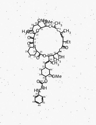 CCC1/C=C(/C)CC(C)CC(OC)C2OC(O)(C(=O)C(=O)N3CCCCC3C(=O)OC(/C(C)=C/C3CCC(OC(=O)NNc4ccccc4)C(OC)C3)C(C)C(O)CC1=O)C(C)CC2OC